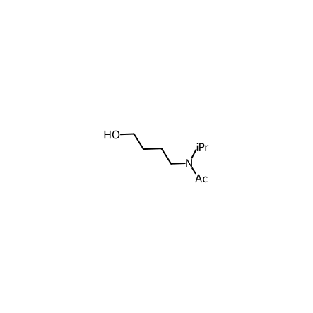 CC(=O)N(CCCCO)C(C)C